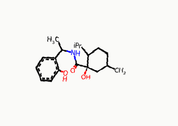 CC1CCC(C(C)C)[C@@](O)(C(=O)NC(C)c2ccccc2O)C1